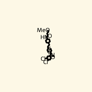 COCCC(=O)NC1CCC(CCN2CCN(c3noc4cc(Cl)c(Cl)cc34)CC2)CC1